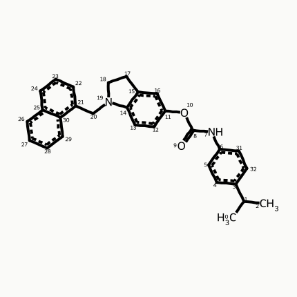 CC(C)c1ccc(NC(=O)Oc2ccc3c(c2)CCN3Cc2cccc3ccccc23)cc1